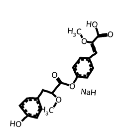 CO/C(=C\c1ccc(OC(=O)C(Cc2ccc(O)cc2)OC)cc1)C(=O)O.[NaH]